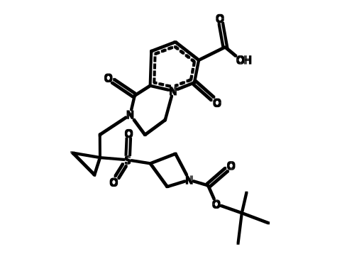 CC(C)(C)OC(=O)N1CC(S(=O)(=O)C2(CN3CCn4c(ccc(C(=O)O)c4=O)C3=O)CC2)C1